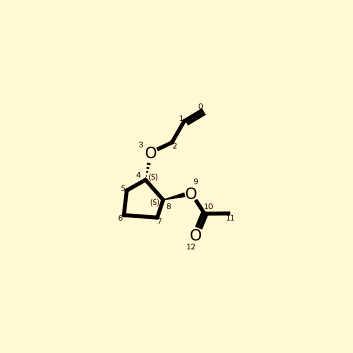 C=CCO[C@H]1CCC[C@@H]1OC(C)=O